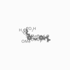 COc1cc2sc(C(=O)C[C@H](C)C(=O)O)cc2c(F)c1OCCCOc1c(OC)cc2sc(C(=O)C3CC3)cc2c1F